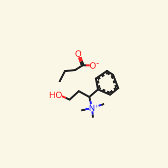 CCCC(=O)[O-].C[N+](C)(C)C(CCO)c1ccccc1